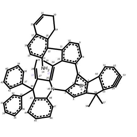 Bc1c2cc3c(c1-c1cccc(-c4c(N)ccc5c4CCC=C5)c1/C(C)=C1/C(=C\C)C(c4ccccc4)(c4ccccc4)c4ccccc4N12)-c1ccc#cc1C3(C)C